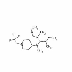 C/C=C\N(C)/C(=C(/C)CC)N(C)C1CCN(CC(F)(F)F)CC1